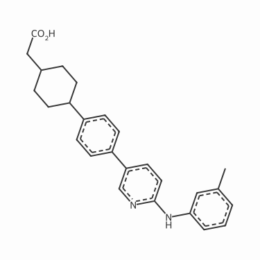 Cc1cccc(Nc2ccc(-c3ccc(C4CCC(CC(=O)O)CC4)cc3)cn2)c1